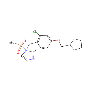 CCCCS(=O)(=O)[N+]1(Cc2ccc(OCC3CCCC3)cc2Cl)C=CN=C1C